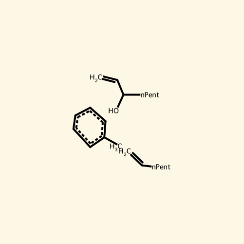 C=CC(O)CCCCC.C=CCCCCC.Cc1ccccc1